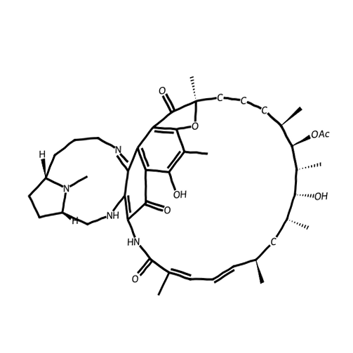 CC(=O)O[C@H]1[C@H](C)[C@H](O)[C@H](C)C[C@@H](C)/C=C/C=C(/C)C(=O)NC2=C3NC[C@@H]4CC[C@H](CCC/N=C\3c3c(c(O)c(C)c5c3C(=O)[C@@](C)(CCC[C@H]1C)O5)C2=O)N4C